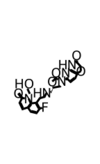 O=C1COc2ccc(N3C[C@H](CNCCc4c(F)ccc5ccc(=O)n(CCO)c45)OC3=O)nc2N1